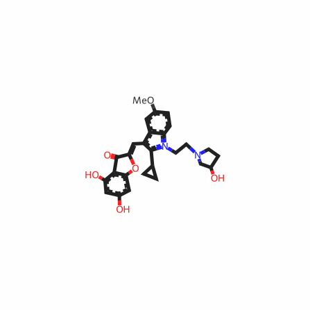 COc1ccc2c(c1)c(/C=C1\Oc3cc(O)cc(O)c3C1=O)c(C1CC1)n2CCN1CCC(O)C1